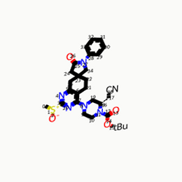 C[S+]([O-])c1nc2c(c(N3CCN(C(=O)OC(C)(C)C)[C@@H](CC#N)C3)n1)CCC1(CC(=O)N(c3ccccc3)C1)C2